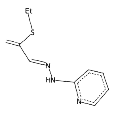 C=C(/C=N/Nc1ccccn1)SCC